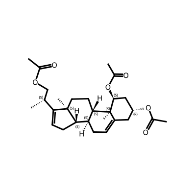 CC(=O)OC[C@@H](C)C1=CC[C@H]2[C@@H]3CC=C4C[C@@H](OC(C)=O)C[C@H](OC(C)=O)[C@]4(C)[C@H]3CC[C@]12C